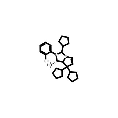 Cc1ccccc1N1C(C2CCCC2)N2C=CC(C3CCCC3)(C3CCCC3)C2[C@@H]1C